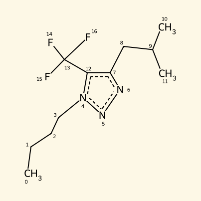 CCCCn1nnc(CC(C)C)c1C(F)(F)F